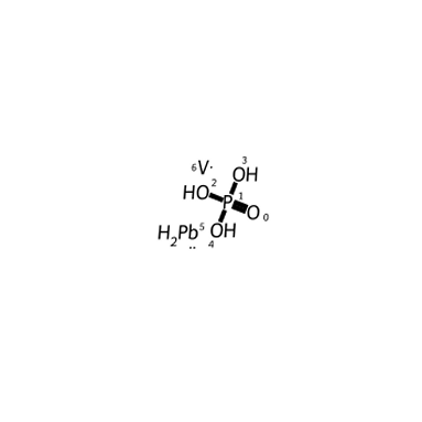 O=P(O)(O)O.[PbH2].[V]